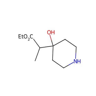 CCOC(=O)C(C)C1(O)CCNCC1